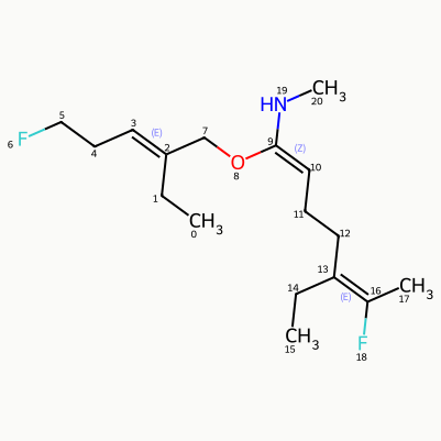 CC/C(=C\CCF)CO/C(=C\CC/C(CC)=C(\C)F)NC